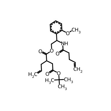 C=CCCC(=O)NC(COC(=O)C(CC=C)CC(=O)OC(C)(C)C)c1ccccc1OC